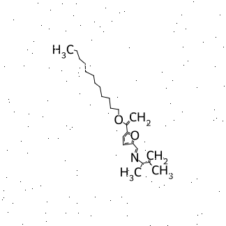 C=C(OCCCCCCCCCCCC)c1ccc(/C=N/C(C)C(=C)C)o1